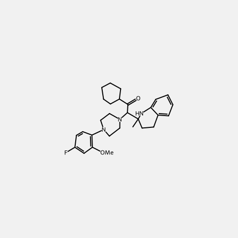 COc1cc(F)ccc1N1CCN(C(C(=O)C2CCCCC2)C2(C)CCc3ccccc3N2)CC1